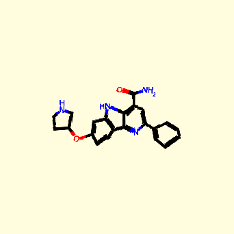 NC(=O)c1cc(-c2ccccc2)nc2c1[nH]c1cc(OC3CCNC3)ccc12